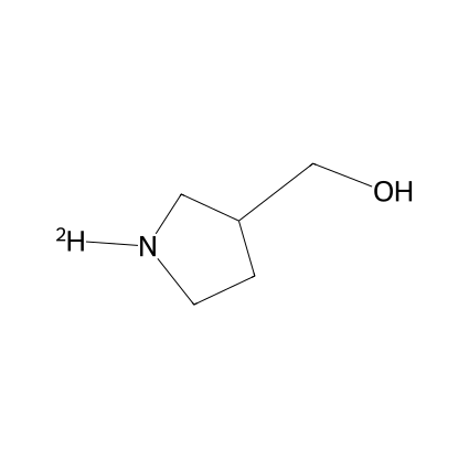 [2H]N1CCC(CO)C1